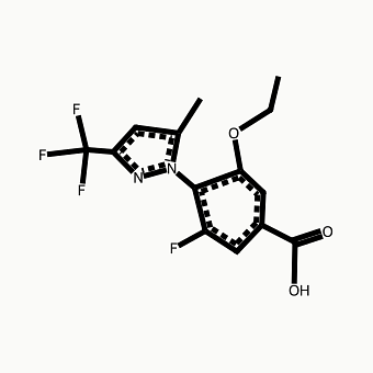 CCOc1cc(C(=O)O)cc(F)c1-n1nc(C(F)(F)F)cc1C